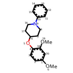 COc1ccc(OC2CCN(c3cc[c]cc3)CC2)c(OC)c1